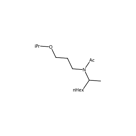 CCCCCCC(C)N(CCCOC(C)C)C(C)=O